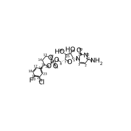 Nc1ccn([C@@H]2O[C@H](CO[P@]3(=O)OCC[C@H](c4ccc(F)c(Cl)c4)O3)[C@@H](O)[C@@H]2O)c(=O)n1